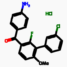 COc1ccc(C(=O)c2ccc(N)cc2)c(F)c1-c1cccc(Cl)c1.Cl